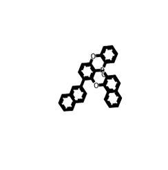 O=P12c3ccccc3Oc3ccc(-c4ccc5ccccc5c4)c(c31)Oc1c2ccc2ccccc12